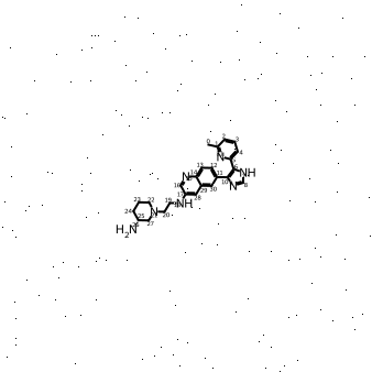 Cc1cccc(-c2[nH]cnc2-c2ccc3ncc(NCCN4CCC[C@@H](N)C4)cc3c2)n1